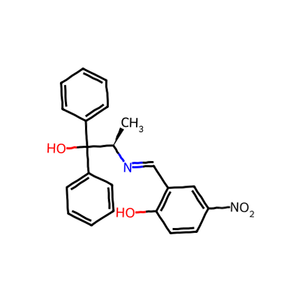 C[C@@H](N=Cc1cc([N+](=O)[O-])ccc1O)C(O)(c1ccccc1)c1ccccc1